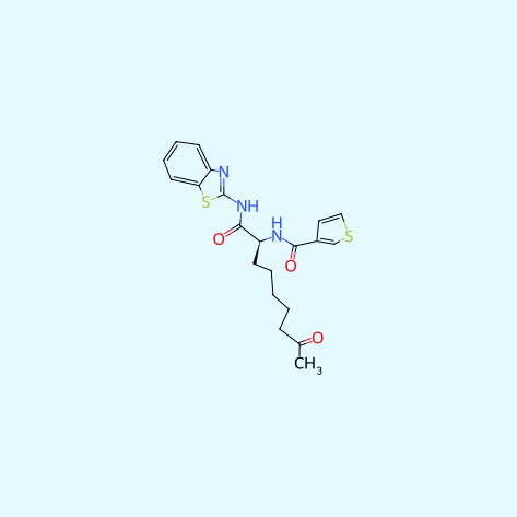 CC(=O)CCCCC[C@H](NC(=O)c1ccsc1)C(=O)Nc1nc2ccccc2s1